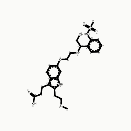 COCCc1[nH]c2cc(OCCNC(CO)c3ccccc3NS(C)(=O)=O)ccc2c1CCC(=O)O